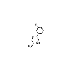 C[C@H]1COC(c2cccc(F)c2)CN1